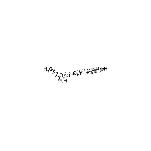 CCCCCC(CC)OCCOCCOCCOCCOCCOCCO